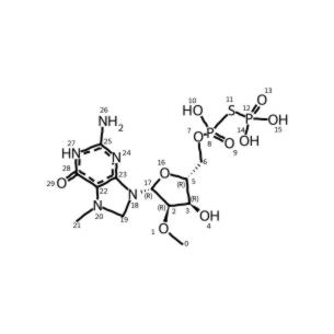 CO[C@@H]1[C@H](O)[C@@H](COP(=O)(O)SP(=O)(O)O)O[C@H]1N1CN(C)c2c1nc(N)[nH]c2=O